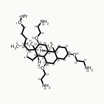 CCCOCCC[C@@H](C)[C@H]1CC[C@H]2C3[C@H](OCCN)CC4C[C@H](OCCN)CCC4(C)[C@H]3C[C@H](OCCN)C12C